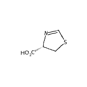 O=C(O)[C@H]1CSC=N1